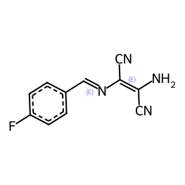 N#C/C(N)=C(C#N)\N=C\c1ccc(F)cc1